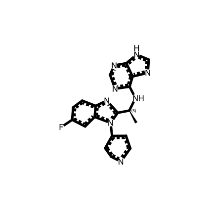 C[C@H](Nc1ncnc2[nH]cnc12)c1nc2ccc(F)cc2n1-c1ccncc1